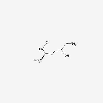 NC[C@H](O)CC[C@H](NCl)C(=O)O